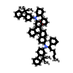 C=C/C=C\C=C(/c1ccccc1)N(c1ccc2c(c1)C(C)(C)c1ccccc1-2)c1ccc2c(ccc3c4ccc(N(c5ccc6c(c5)C(C)(C)c5ccccc5-6)c5ccccc5-c5ccccc5)cc4c4ccccc4c23)c1